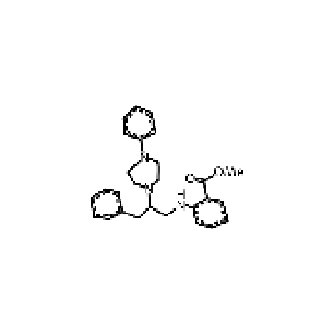 COC(=O)c1ccccc1NCC(Cc1ccccc1)N1CCN(c2ccccc2)CC1